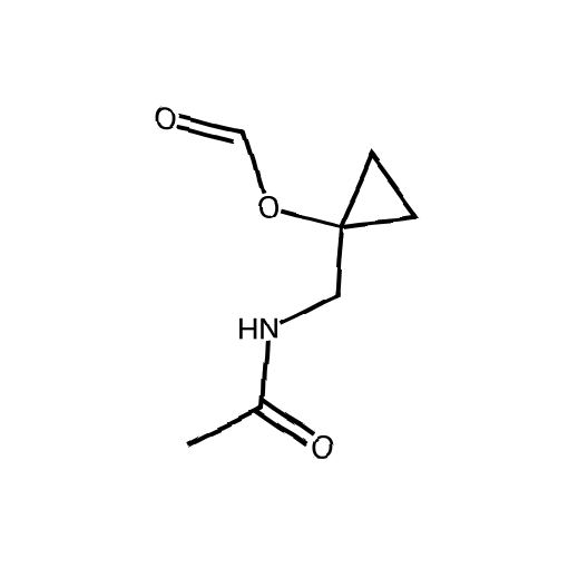 CC(=O)NCC1(OC=O)CC1